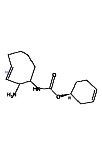 NC1/C=C/CCCCC1NC(=O)O[C@@H]1CC=CCC1